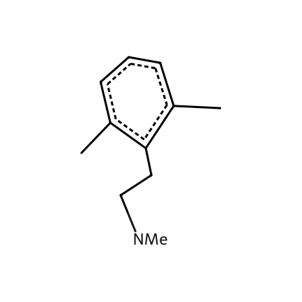 CNCCc1c(C)cccc1C